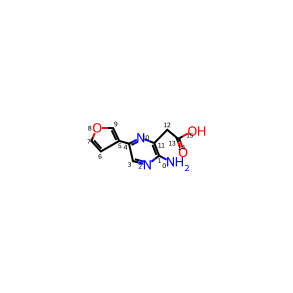 Nc1ncc(-c2ccoc2)nc1CC(=O)O